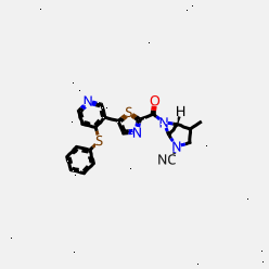 CC1CN(C#N)C2[C@@H]1N2C(=O)c1ncc(-c2cnccc2Sc2ccccc2)s1